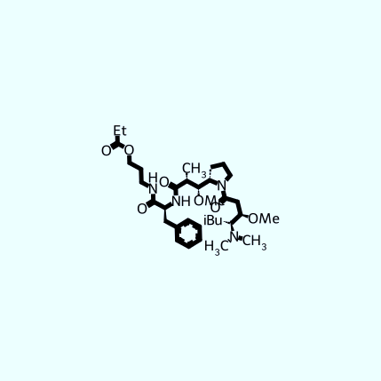 CCC(=O)OCCCNC(=O)[C@H](Cc1ccccc1)NC(=O)[C@H](C)[C@@H](OC)[C@@H]1CCCN1C(=O)C[C@@H](OC)[C@H]([C@@H](C)CC)N(C)C